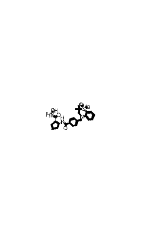 CC1(C)CN(Cc2ccc(C(=O)N[C@@H]3CCC[C@@H]3C(=O)NO)cc2)c2ccccc2S1(=O)=O